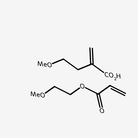 C=C(CCOC)C(=O)O.C=CC(=O)OCCOC